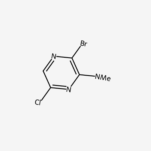 CNc1nc(Cl)cnc1Br